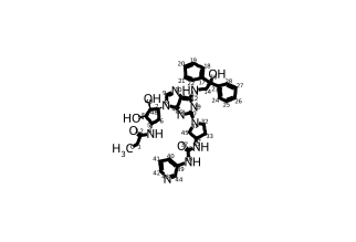 CCC(=O)N[C@H]1C[C@@H](n2cnc3c(NCC(O)(c4ccccc4)c4ccccc4)nc(N4CCC(NC(=O)Nc5cccnc5)C4)nc32)[C@H](O)[C@@H]1O